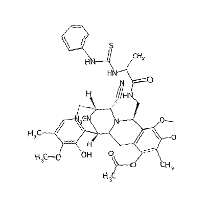 COc1c(C)cc2c(c1O)[C@H]1C3Cc4c(OC(C)=O)c(C)c5c(c4[C@H](CNC(=O)C(C)NC(=S)Nc4ccccc4)N3[C@@H](C#N)[C@@H](C2)N1C)OCO5